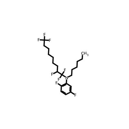 CCCCCCN(c1cc(F)ccc1F)C(F)(F)C(F)CCCCCCC(F)(F)F